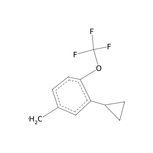 [CH2]c1ccc(OC(F)(F)F)c(C2CC2)c1